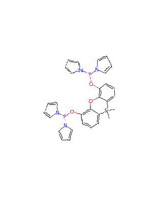 C[Si]1(C)c2cccc(OP(n3cccc3)n3cccc3)c2Oc2c(OP(n3cccc3)n3cccc3)cccc21